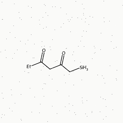 CCC(=O)CC(=O)C[SiH3]